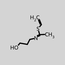 C=CS/C(C)=N\CCCO